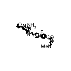 CNCCN(C)C(=O)COc1ccc(N2CCN(CCn3ncc4c3nc(N)n3nc(-c5ccco5)cc43)CC2)c(F)c1